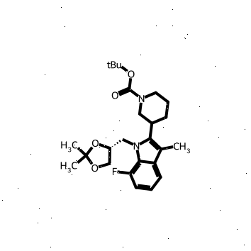 Cc1c(C2CCCN(C(=O)OC(C)(C)C)C2)n(C[C@@H]2COC(C)(C)O2)c2c(F)cccc12